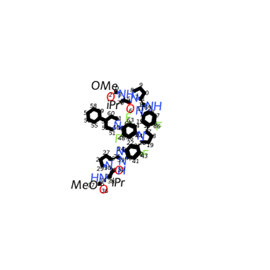 COC(=O)NC(C(=O)N1CCC[C@H]1c1nc2cc([C@H]3CC[C@H](c4cc5nc([C@@H]6CCCN6C(=O)[C@@H](NC(=O)OC)C(C)C)[nH]c5cc4F)N3c3cc(F)c(N4CCC(C5CCCCC5)CC4)c(F)c3)c(F)cc2[nH]1)C(C)C